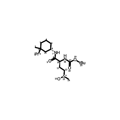 CC(C)C1(C)CCC[C@H](NC(=O)[C@H](CC[S+](C)[O-])NC(=O)OC(C)(C)C)C1